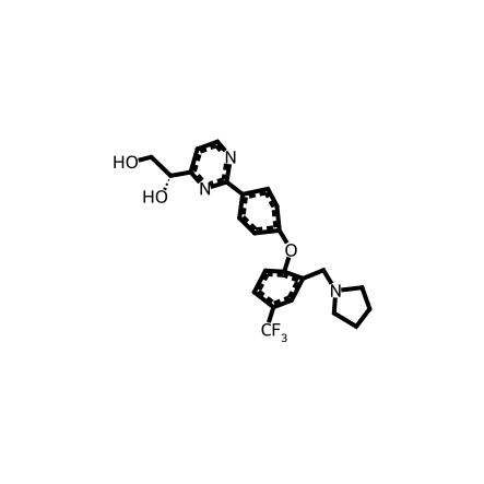 OC[C@@H](O)c1ccnc(-c2ccc(Oc3ccc(C(F)(F)F)cc3CN3CCCC3)cc2)n1